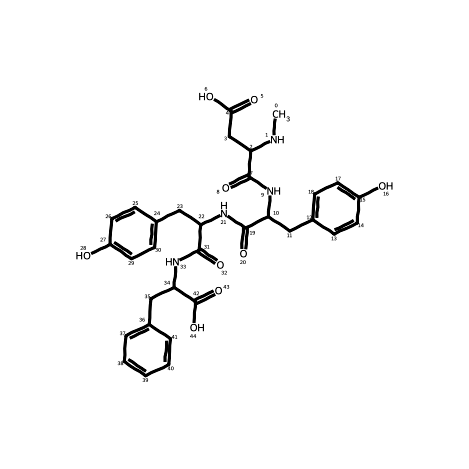 CNC(CC(=O)O)C(=O)NC(Cc1ccc(O)cc1)C(=O)NC(Cc1ccc(O)cc1)C(=O)NC(Cc1ccccc1)C(=O)O